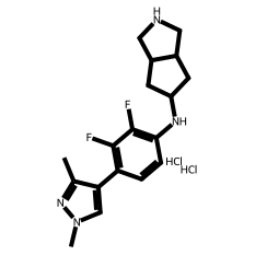 Cc1nn(C)cc1-c1ccc(NC2CC3CNCC3C2)c(F)c1F.Cl.Cl